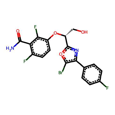 NC(=O)c1c(F)ccc(O[C@H](CO)c2nc(-c3ccc(F)cc3)c(Br)o2)c1F